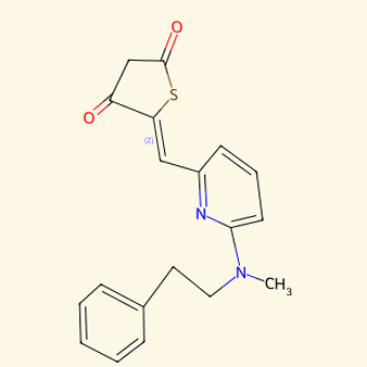 CN(CCc1ccccc1)c1cccc(/C=C2\SC(=O)CC2=O)n1